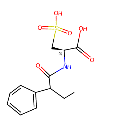 CCC(C(=O)N[C@@H](CS(=O)(=O)O)C(=O)O)c1ccccc1